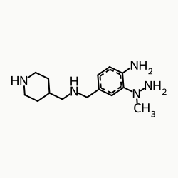 CN(N)c1cc(CNCC2CCNCC2)ccc1N